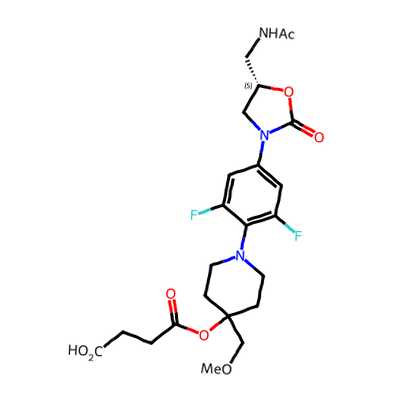 COCC1(OC(=O)CCC(=O)O)CCN(c2c(F)cc(N3C[C@H](CNC(C)=O)OC3=O)cc2F)CC1